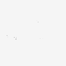 CC(=O)N1CCc2cc(C(=O)C(=O)c3ccccc3)ccc21